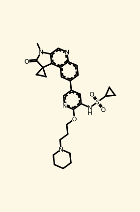 CN1C(=O)C2(CC2)c2c1cnc1ccc(-c3cnc(OCCCN4CCCCC4)c(NS(=O)(=O)C4CC4)c3)cc21